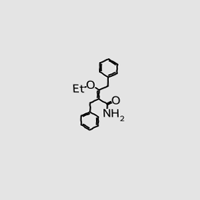 CCOC(Cc1ccccc1)=C(Cc1ccccc1)C(N)=O